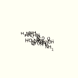 N=C(N)NCCC[C@H](NC(=O)[C@@H]1CCCN1C(=O)[C@H](Cc1c[nH]cn1)NC(=O)[C@H](CCC(=O)O)NC(=O)CN)C(=O)O